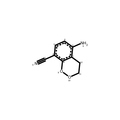 N#Cc1ccc(N)c2c1OOCC2